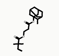 CCC(C)(C)C(=O)OCCC(=O)OC12CC3CC(CC(C3)C1C)C2